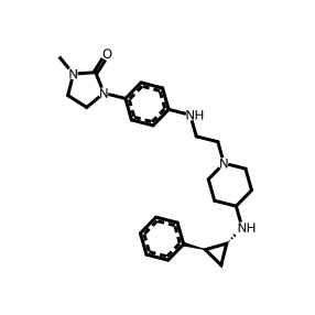 CN1CCN(c2ccc(NCCN3CCC(N[C@@H]4C[C@H]4c4ccccc4)CC3)cc2)C1=O